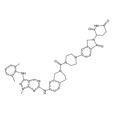 Cc1cccc(C)c1Nc1nn(C)c2nc(Nc3ccc4c(c3)CN(C(=O)N3CCN(c5ccc6c(c5)CN(C5CCC(=O)NC5=O)C6=O)CC3)CC4)ncc12